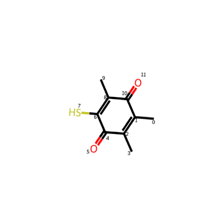 CC1=C(C)C(=O)C(S)=C(C)C1=O